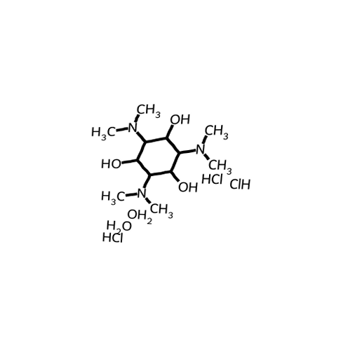 CN(C)C1C(O)C(N(C)C)C(O)C(N(C)C)C1O.Cl.Cl.Cl.O.O